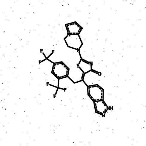 O=C1N=C(N2CCn3cccc3C2)SC1=C(Cc1ccc(C(F)(F)F)cc1C(F)(F)F)c1ccc2[nH]ncc2c1